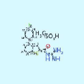 CS(=O)(=O)O.N=C(N)NC(=O)c1cc2c(-c3ccc(F)cc3)cccc2s1